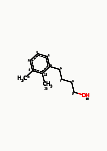 Cc1cccc(CCCCO)c1C